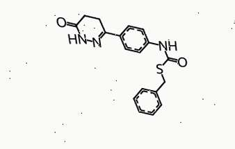 O=C1CCC(c2ccc(NC(=O)SCc3ccccc3)cc2)=NN1